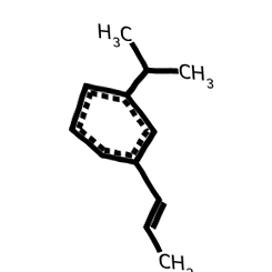 C/C=C/c1cccc(C(C)C)c1